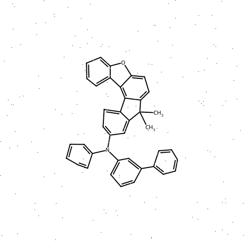 CC1(C)c2cc(N(c3ccccc3)c3cccc(-c4ccccc4)c3)ccc2-c2c1ccc1oc3ccccc3c21